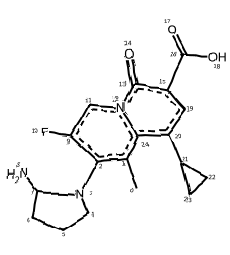 Cc1c(N2CCCC2N)c(F)cn2c(=O)c(C(=O)O)cc(C3CC3)c12